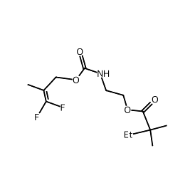 CCC(C)(C)C(=O)OCCNC(=O)OCC(C)=C(F)F